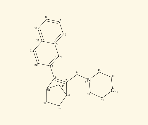 c1ccc2cc(C3=C(CN4CCOCC4)C4CCC3C4)ccc2c1